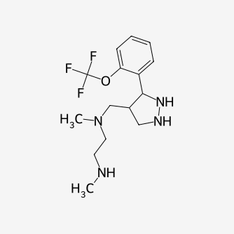 CNCCN(C)CC1CNNC1c1ccccc1OC(F)(F)F